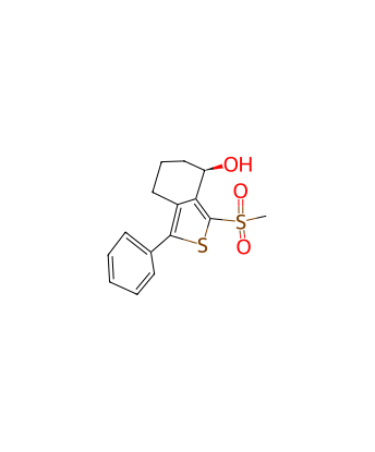 CS(=O)(=O)c1sc(-c2ccccc2)c2c1[C@H](O)CCC2